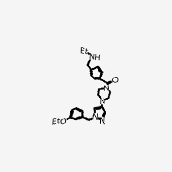 CCNCc1ccc(C(=O)N2CCN(c3cnn(Cc4cccc(OCC)c4)c3)CC2)cc1